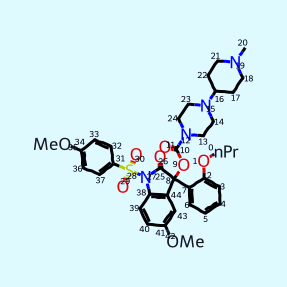 CCCOc1ccccc1C1(OC(=O)N2CCN(C3CCN(C)CC3)CC2)C(=O)N(S(=O)(=O)c2ccc(OC)cc2)c2ccc(OC)cc21